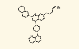 CC/C=C\C=C/Cc1ccc2c(-c3ccc(-c4cccc5cccnc45)cc3)cc(-c3ccc4ccccc4c3)nc2c1